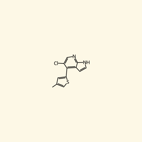 Cc1csc(-c2c(Cl)cnc3[nH]ccc23)c1